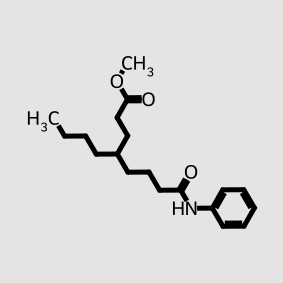 CCCCC(CCCC(=O)Nc1ccccc1)CCC(=O)OC